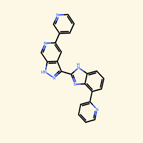 c1ccc(-c2cccc3[nH]c(-c4n[nH]c5cnc(-c6cccnc6)cc45)nc23)nc1